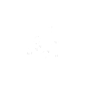 NC(=O)c1nn(CC(=O)N2[C@@H]3C[C@@H]3C[C@H]2C(=O)N[C@H]2CCC[C@H](OC(F)(F)F)C2)c2ccccc12